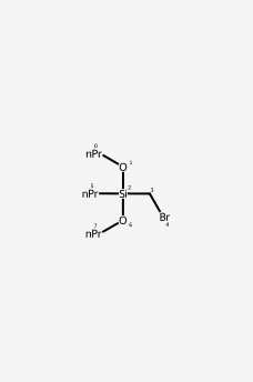 CCCO[Si](CBr)(CCC)OCCC